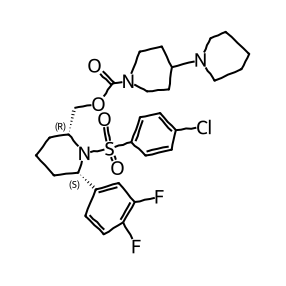 O=C(OC[C@H]1CCC[C@@H](c2ccc(F)c(F)c2)N1S(=O)(=O)c1ccc(Cl)cc1)N1CCC(N2CCCCC2)CC1